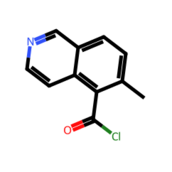 Cc1ccc2cnccc2c1C(=O)Cl